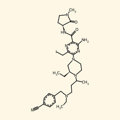 CC[C@H]1CN(c2nc(N)c(C(=O)N[C@H]3CCN(C)C3=O)nc2CI)CCN1C(C)CCN(CC)Cc1ccc(C#N)cc1